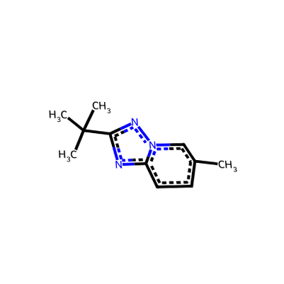 Cc1ccc2nc(C(C)(C)C)nn2c1